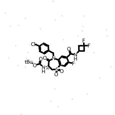 CC(C)(C)OC(=O)N[C@H]1CS(=O)(=O)c2cc(F)c(C(=O)NC3CC(F)(F)C3)cc2N(Cc2ccc(Cl)cc2)C1=O